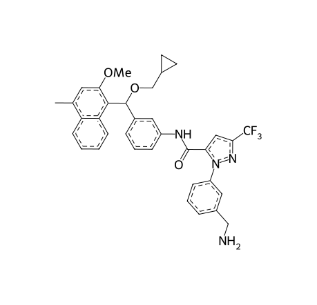 COc1cc(C)c2ccccc2c1C(OCC1CC1)c1cccc(NC(=O)c2cc(C(F)(F)F)nn2-c2cccc(CN)c2)c1